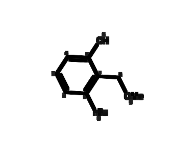 CCCCc1cccc(O)c1COC